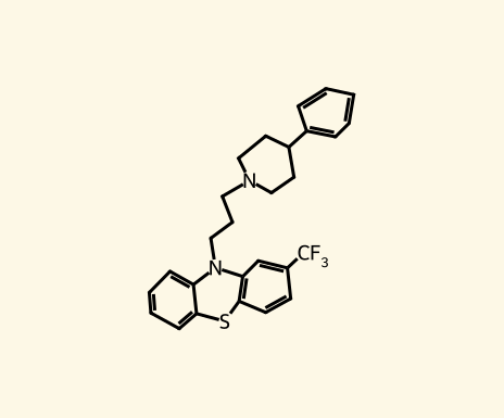 FC(F)(F)c1ccc2c(c1)N(CCCN1CCC(c3ccccc3)CC1)c1ccccc1S2